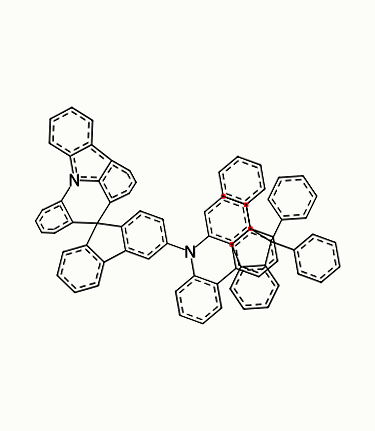 c1ccc(-c2cccc(-c3ccccc3N(c3ccc4c(c3)-c3ccccc3C43c4ccccc4-n4c5ccccc5c5cccc3c54)c3cccc4c3-c3ccccc3C4(c3ccccc3)c3ccccc3)c2)cc1